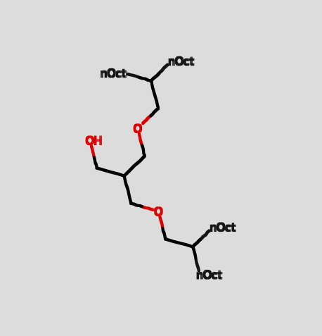 CCCCCCCCC(CCCCCCCC)COCC(CO)COCC(CCCCCCCC)CCCCCCCC